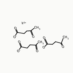 CC(=O)CCC(=O)[O-].CC(=O)CCC(=O)[O-].CC(=O)CCC(=O)[O-].[Ir+3]